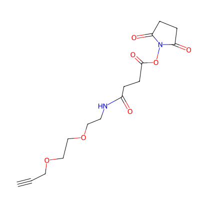 C#CCOCCOCCNC(=O)CCC(=O)ON1C(=O)CCC1=O